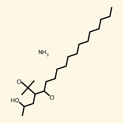 CCCCCCCCCCCCCC(Cl)C(CC(C)O)C(C)(C)Cl.N